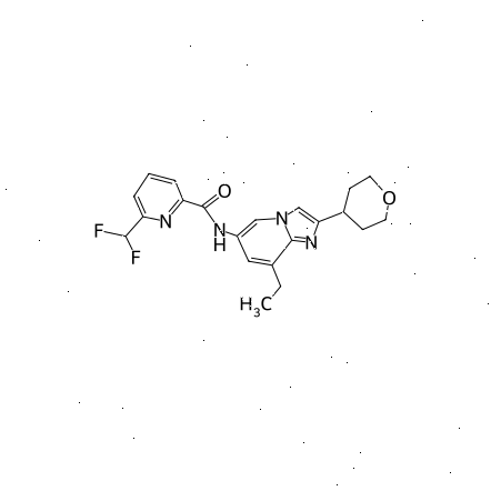 CCc1cc(NC(=O)c2cccc(C(F)F)n2)cn2cc(C3CCOCC3)nc12